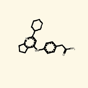 NC(=O)Cc1ccc(Nc2cc(C3CCCCC3)nc3c2CCC3)cc1